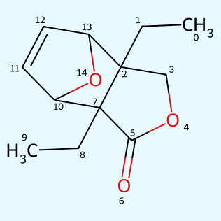 CCC12COC(=O)C1(CC)C1C=CC2O1